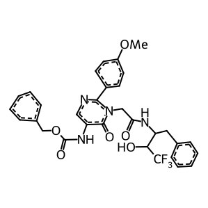 COc1ccc(-c2ncc(NC(=O)OCc3ccccc3)c(=O)n2CC(=O)NC(Cc2ccccc2)C(O)C(F)(F)F)cc1